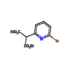 CCOC(=O)C(C(=O)OCC)c1cccc(Br)n1